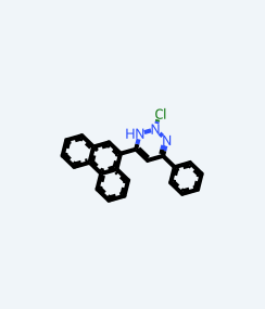 ClN1N=C(c2ccccc2)C=C(c2cc3ccccc3c3ccccc23)N1